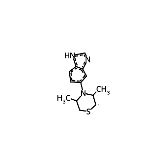 CC1[CH]SCC(C)N1c1ccc2[nH]cnc2c1